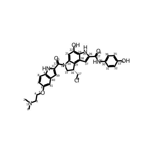 CN(C)CCOc1ccc2[nH]c(C(=O)N3C[C@@H](CCl)c4c3cc(O)c3[nH]c(C(=O)Nc5ccc(O)cc5)cc43)cc2c1